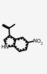 C=C(C)c1c[nH]c2ccc([N+](=O)[O-])cc12